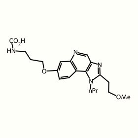 CCCn1c(CCOC)nc2cnc3cc(OCCCNC(=O)O)ccc3c21